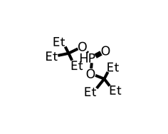 CCC(CC)(CC)O[PH](=O)OC(CC)(CC)CC